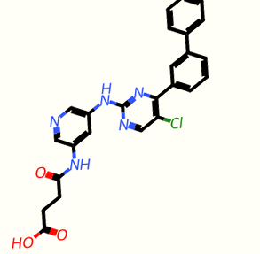 O=C(O)CCC(=O)Nc1cncc(Nc2ncc(Cl)c(-c3cccc(-c4ccccc4)c3)n2)c1